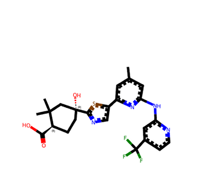 Cc1cc(Nc2cc(C(F)(F)F)ccn2)nc(-c2cnc([C@@]3(O)CC[C@@H](C(=O)O)C(C)(C)C3)s2)c1